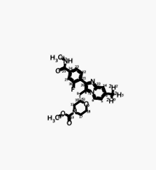 [2H]C([2H])([2H])c1ccn2c(C[C@H]3CN(C(=O)OC)CCO3)c(-c3ccc(C(=O)NC)cc3F)nc2c1